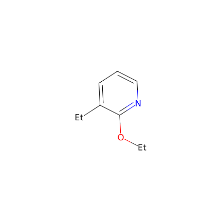 [CH2]Cc1cccnc1OCC